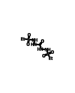 CCS(=O)(=O)NNC(=O)NNS(=O)(=O)CC